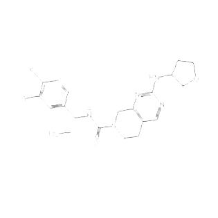 O=C(N[C@H](CO)c1ccc(F)c(Cl)c1)N1CCc2cnc(NC3CCOC3)nc2C1